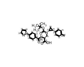 CC(C)(C)OC(=O)N(C[C@H](NC(=O)c1ccc(-n2cccn2)cc1)C(=O)O)[C@@H]1C[C@H]1c1ccc(F)cc1